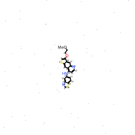 COCCOc1csc2cc3c(Nc4ccc5scnc5c4)ccnc3cc12